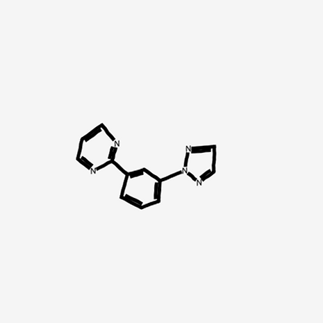 c1cnc(-c2cccc(-n3nccn3)c2)nc1